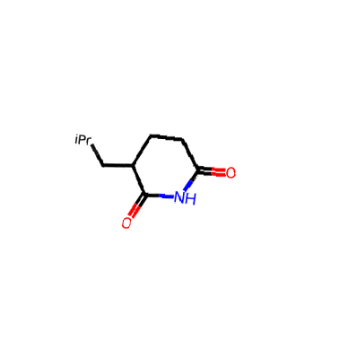 CC(C)CC1CCC(=O)NC1=O